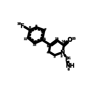 N=PN1CCC(c2ccc(F)cc2)=CC1=O